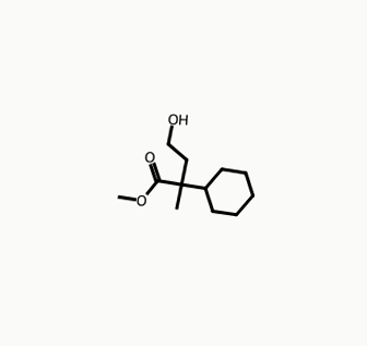 COC(=O)C(C)(CCO)C1CCCCC1